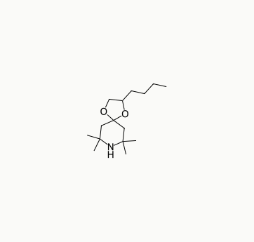 CCCCC1COC2(CC(C)(C)NC(C)(C)C2)O1